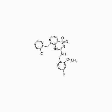 COc1cc(F)ccc1CNC1=NS(=O)(=O)c2cccc(Cc3ccccc3Cl)c2N1